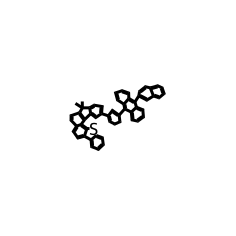 CC1(C)c2ccc(C3=CCCC(c4c5ccccc5c(-c5ccc6ccccc6c5)c5ccccc45)=C3)cc2-c2c1ccc1ccc3c4ccccc4sc3c21